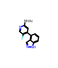 CC(=O)Nc1cc(-c2cccc3[nH]ncc23)c(F)cn1